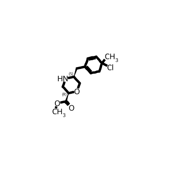 COC(=O)[C@H]1CN[C@@H](CC2=CCC(C)(Cl)C=C2)CO1